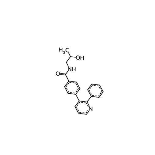 CC(O)CNC(=O)c1ccc(-c2cccnc2-c2ccccc2)cc1